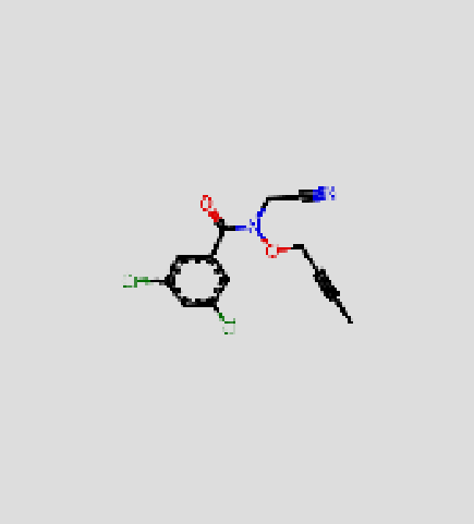 CC#CCON(CC#N)C(=O)c1cc(Cl)cc(Cl)c1